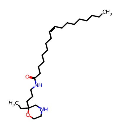 CCCCCCCC/C=C\CCCCCCCC(=O)NCCCC1(CC)CNCCO1